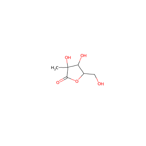 CC1(O)C(=O)OC(CO)C1O